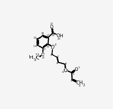 C=CC(=O)OCCCCOc1c(OC)cccc1C(=O)O